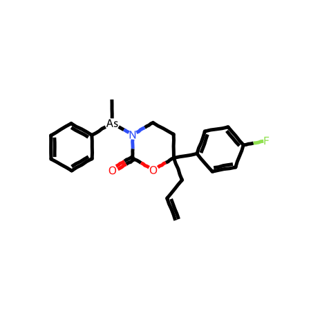 C=CCC1(c2ccc(F)cc2)CCN([As](C)c2ccccc2)C(=O)O1